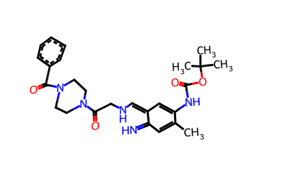 CC1=CC(=N)/C(=C\NCC(=O)N2CCN(C(=O)c3ccccc3)CC2)C=C1NC(=O)OC(C)(C)C